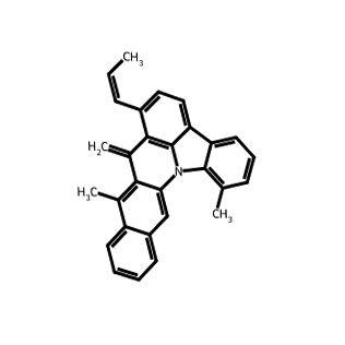 C=c1c2c(C)c3ccccc3cc2n2c3c(C)cccc3c3ccc(/C=C\C)c1c32